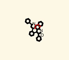 c1ccc(-c2cc(-c3ccccc3-c3c4ccccc4nc4oc5ccccc5c34)nc(-c3ccccc3)n2)cc1